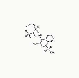 O=S1(=O)OCCOS(=O)(=O)C1=NNc1c(O)cc(S(=O)(=O)O)c2ccccc12